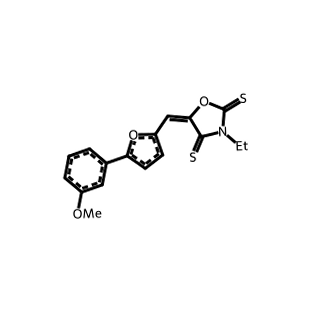 CCN1C(=S)O/C(=C/c2ccc(-c3cccc(OC)c3)o2)C1=S